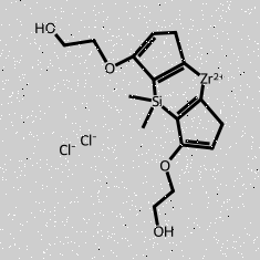 C[Si]1(C)C2=[C](CC=C2OCCO)[Zr+2][C]2=C1C(OCCO)=CC2.[Cl-].[Cl-]